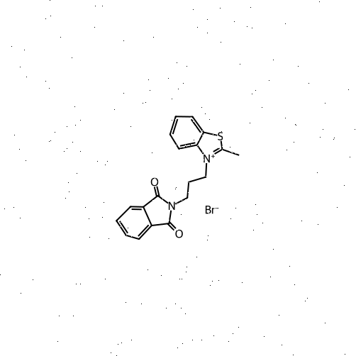 Cc1sc2ccccc2[n+]1CCCN1C(=O)c2ccccc2C1=O.[Br-]